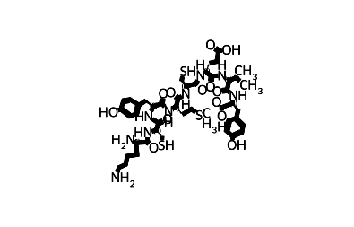 CSCC[C@H](NC(=O)[C@H](Cc1ccc(O)cc1)NC(=O)[C@H](CS)NC(=O)[C@@H](N)CCCCN)C(=O)N[C@@H](CS)C(=O)N[C@H](CCC(=O)O)C(=O)N[C@H](C(=O)N[C@@H](Cc1ccc(O)cc1)C(=O)O)C(C)C